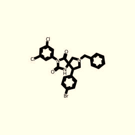 O=C1NC2(CN(Cc3ccccc3)CC2c2ccc(Br)cc2)C(=O)N1c1cc(Cl)cc(Cl)c1